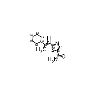 C[C@H](Nc1ncc(C(N)=O)s1)C1CCCCC1